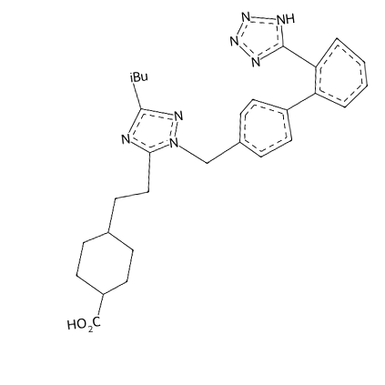 CCC(C)c1nc(CCC2CCC(C(=O)O)CC2)n(Cc2ccc(-c3ccccc3-c3nnn[nH]3)cc2)n1